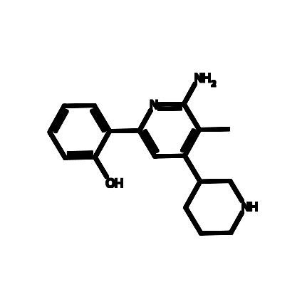 Cc1c(C2CCCNC2)cc(-c2ccccc2O)nc1N